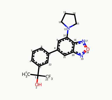 CC(O)(c1cccc(-c2cc(N3CCCC3)c3nonc3c2)c1)C(F)(F)F